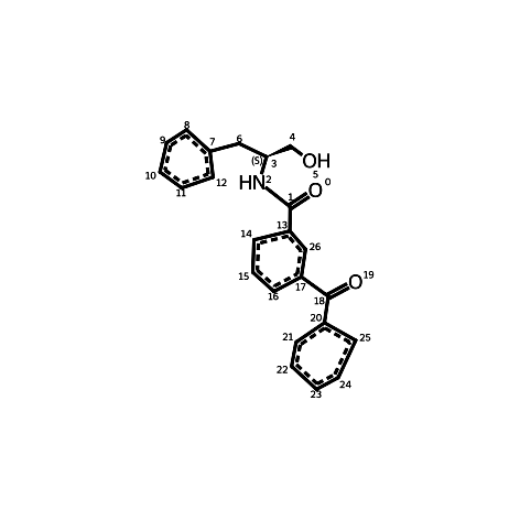 O=C(N[C@H](CO)Cc1ccccc1)c1cccc(C(=O)c2ccccc2)c1